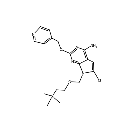 C[Si](C)(C)CCOCn1c(Cl)cc2c(N)nc(OCc3ccncc3)nc21